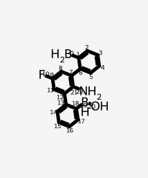 Bc1ccccc1-c1cc(F)cc(-c2ccccc2BO)c1N